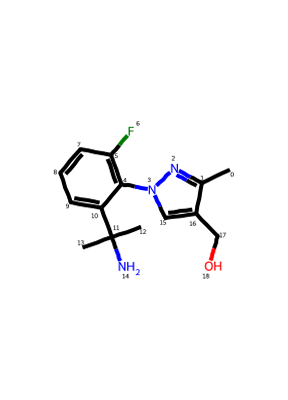 Cc1nn(-c2c(F)cccc2C(C)(C)N)cc1CO